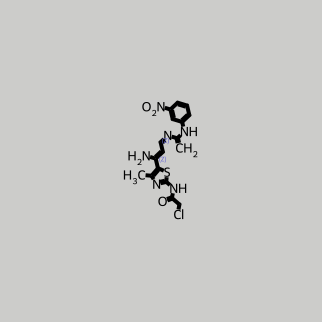 C=C(/N=C\C=C(/N)c1sc(NC(=O)CCl)nc1C)Nc1cccc([N+](=O)[O-])c1